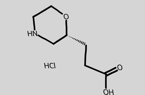 Cl.O=C(O)CC[C@@H]1CNCCO1